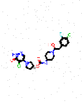 O=C(NC1CCN(C(O)Cc2ccc(Cl)c(F)c2)CC1)O[C@@H]1CCN(c2cn[nH]c(=O)c2Cl)C1